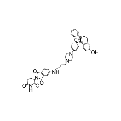 CC1([C@@H]2c3ccc(O)cc3CC[C@@H]2c2ccccc2)C=CC(N2CCN(CCCCNc3ccc4c(c3)C(=O)N(C3CCC(=O)NC3=O)C4=O)CC2)=CC1